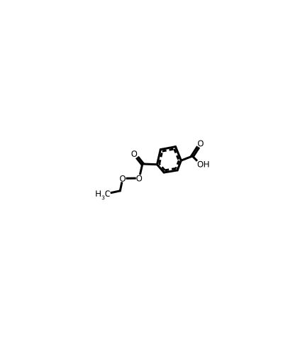 CCOOC(=O)c1ccc(C(=O)O)cc1